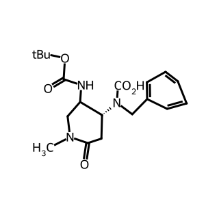 CN1CC(NC(=O)OC(C)(C)C)[C@H](N(Cc2ccccc2)C(=O)O)CC1=O